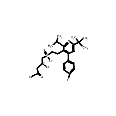 CC(C)c1nc(C(C)(C)C)cc(-c2ccc(F)cc2)c1CCP(=O)(O)C[C@@H](O)CC(=O)O